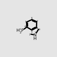 CNC.Pc1ccccc1